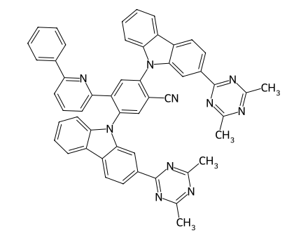 Cc1nc(C)nc(-c2ccc3c4ccccc4n(-c4cc(-c5cccc(-c6ccccc6)n5)c(-n5c6ccccc6c6ccc(-c7nc(C)nc(C)n7)cc65)cc4C#N)c3c2)n1